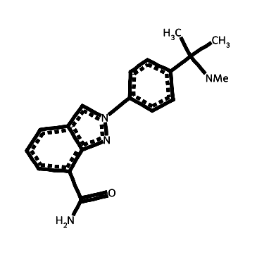 CNC(C)(C)c1ccc(-n2cc3cccc(C(N)=O)c3n2)cc1